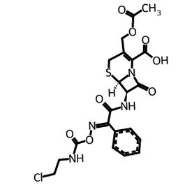 CC(=O)OCC1=C(C(=O)O)N2C(=O)[C@@H](NC(=O)/C(=N/OC(=O)NCCCl)c3ccccc3)[C@H]2SC1